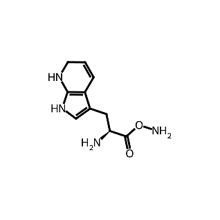 NOC(=O)[C@@H](N)Cc1c[nH]c2c1C=CCN2